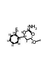 COCC[C@H](OC(N)=O)c1ccccc1F